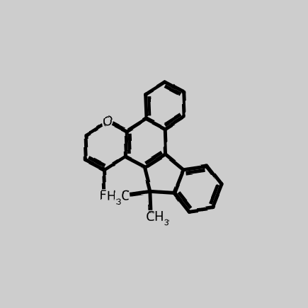 CC1(C)c2ccccc2-c2c1c1c(c3ccccc23)OCC=C1F